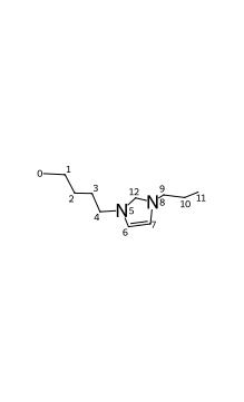 CCCCCN1C=CN(CCC)C1